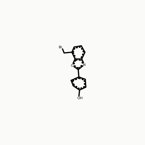 Oc1ccc(-c2nc3cccc(CBr)c3o2)cc1